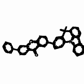 CC1(C)c2cc(-c3ccc4oc5cc(-c6ccccc6)ccc5c(=O)c4c3)ccc2-n2c3ccccc3c3cccc1c32